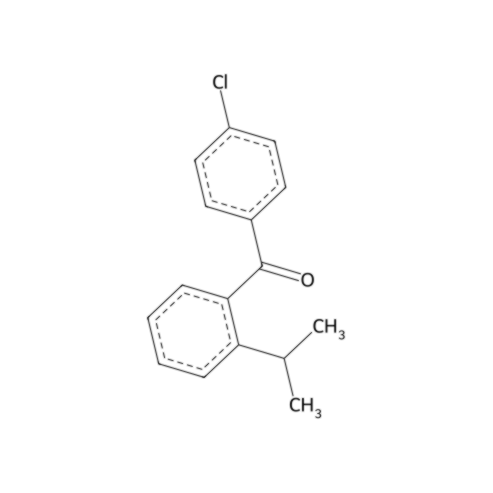 CC(C)c1ccccc1C(=O)c1ccc(Cl)cc1